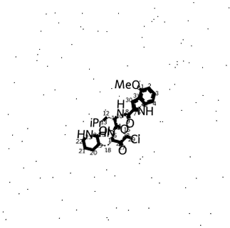 COc1cccc2[nH]c(C(=O)N[C@@H](CC(C)C)C(=O)N[C@@H](C[C@@H]3CCCNC3O)C(=O)CCl)cc12